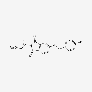 COC[C@H](C)N1C(=O)c2ccc(OCc3ccc(F)cc3)cc2C1=O